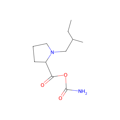 CCC(C)CN1CCCC1C(=O)OC(N)=O